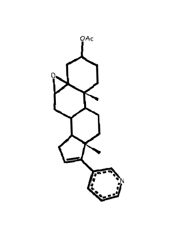 CC(=O)OC1CC[C@]2(C)C3CC[C@]4(C)C(c5cccnc5)=CCC4C3CC3OC32C1